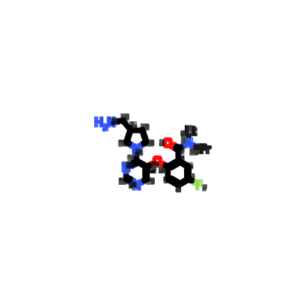 CCN(C(=O)c1cc(F)ccc1Oc1cncnc1N1CC[C@H](CN)C1)C(C)C